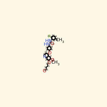 COc1cc2c(Oc3ccc(NC(=O)Nc4cc(C)ccc4F)cc3)ccnc2cc1OCCCC=O